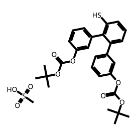 CC(C)(C)OC(=O)Oc1cccc(-c2cccc(S)c2-c2cccc(OC(=O)OC(C)(C)C)c2)c1.CS(=O)(=O)O